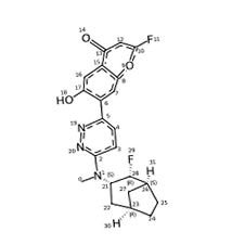 CN(c1ccc(-c2cc3oc(F)cc(=O)c3cc2O)nn1)[C@H]1C[C@@H]2CC[C@@H](C2)[C@H]1F